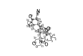 CC1(C)CC[C@]2(C(=O)N3CCOCC3)CC[C@]3(C)[C@H](C(=O)C=C4[C@@]5(C)C=C(C#N)C(=O)C6(CC6)[C@@H]5CC[C@]43C)[C@@H]2C1